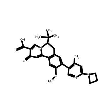 COc1cc2c(cc1-c1cnc(N3CCC3)cc1C)CC(C(C)(C)C)n1cc(C(=O)O)c(=O)cc1-2